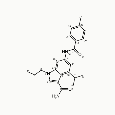 CCCn1nc(C(N)=O)c2c(C(C)C)cc(NC(=O)c3ccc(C)cc3)nc21